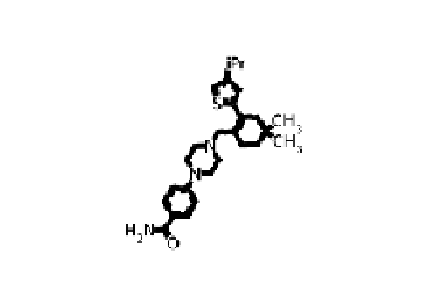 CC(C)c1csc(C2=C(CN3CCN(c4ccc(C(N)=O)cc4)CC3)CCC(C)(C)C2)c1